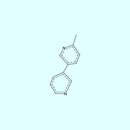 Cc1ccc(-c2cc[c]nc2)cn1